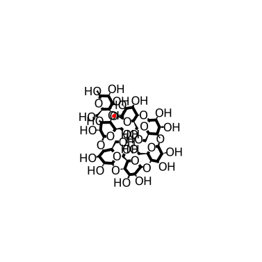 OC[C@H]1O[C@@H](O[C@H]2[C@H](O)[C@@H](O)[C@H](O[C@H]3[C@H](O)[C@@H](O)[C@H](O[C@H]4[C@H](O)[C@@H](O)[C@H](O[C@H]5[C@H](O)[C@@H](O)[C@H](O[C@H]6[C@H](O)[C@@H](O)[C@H](O[C@H]7[C@H](O)[C@@H](O)[C@H](O)O[C@@H]7CO)O[C@@H]6CO)O[C@@H]5CO)O[C@@H]4CO)O[C@@H]3CO)O[C@@H]2CO)[C@H](O)[C@@H](O)[C@@H]1O